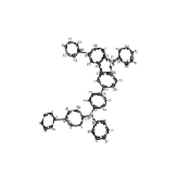 c1ccc(-c2ccc(N(c3ccccc3)c3ccc(-c4ccc5c(c4)c4cc(-c6ccccc6)ccc4n5-c4ccccc4)cc3)cc2)cc1